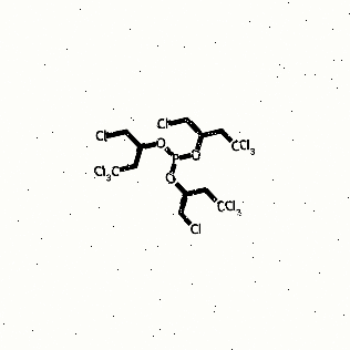 ClCC(CC(Cl)(Cl)Cl)OP(OC(CCl)CC(Cl)(Cl)Cl)OC(CCl)CC(Cl)(Cl)Cl